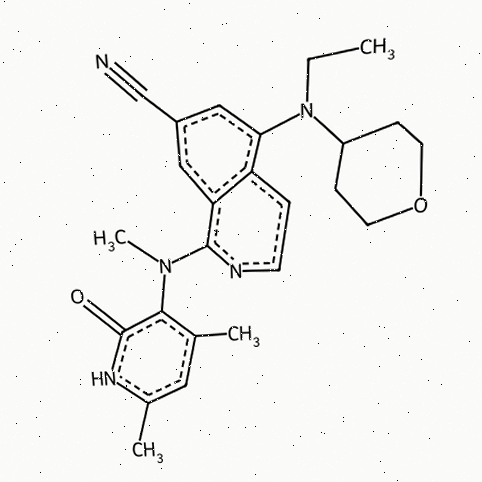 CCN(c1cc(C#N)cc2c(N(C)c3c(C)cc(C)[nH]c3=O)nccc12)C1CCOCC1